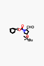 CC(C)(C)[Si](C)(C)O[C@H]1C[C@H](C=O)N(C(=O)OCc2ccccc2)C1